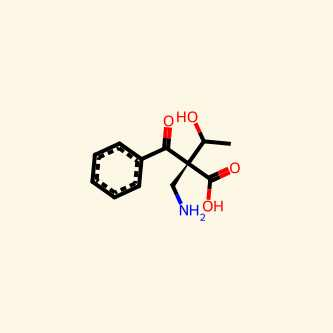 CC(O)[C@](CN)(C(=O)O)C(=O)c1ccccc1